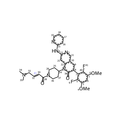 COc1cc(OC)c(F)c(-c2cc3cnc(Nc4ccccn4)cc3n(C3CCN(C(=O)/C=C/CN(C)C)CC3)c2=O)c1F